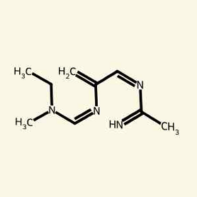 C=C(/C=N\C(C)=N)/N=C\N(C)CC